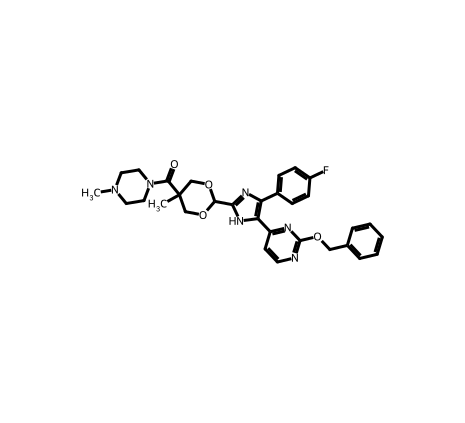 CN1CCN(C(=O)C2(C)COC(c3nc(-c4ccc(F)cc4)c(-c4ccnc(OCc5ccccc5)n4)[nH]3)OC2)CC1